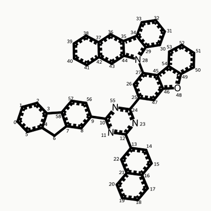 c1ccc2c(c1)Cc1cc(-c3nc(-c4ccc5ccccc5c4)nc(-c4cc(-n5c6ccccc6c6cc7ccccc7cc65)c5c(c4)oc4ccccc45)n3)ccc1-2